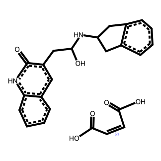 O=C(O)/C=C\C(=O)O.O=c1[nH]c2ccccc2cc1CC(O)NC1Cc2ccccc2C1